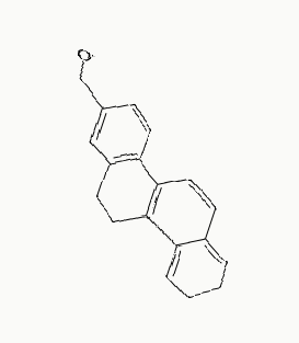 [O]Cc1ccc2c(c1)CCc1c-2ccc2c1=CCCC=2